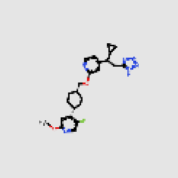 COc1cc([C@H]2CC[C@H](COc3cc(C(Cc4nnn[nH]4)C4CC4)ccn3)CC2)c(F)cn1